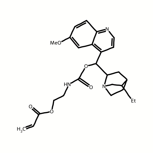 C=CC(=O)OCCNC(=O)OC(c1ccnc2ccc(OC)cc12)C1CC2CCN1CC2CC